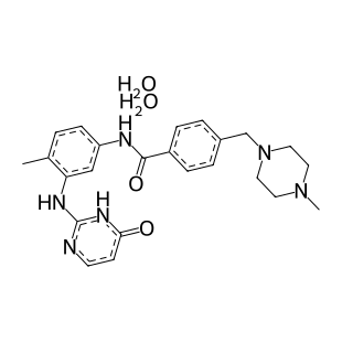 Cc1ccc(NC(=O)c2ccc(CN3CCN(C)CC3)cc2)cc1Nc1nccc(=O)[nH]1.O.O